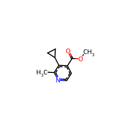 COC(=O)c1ccnc(C)c1C1CC1